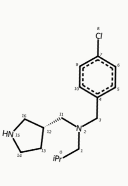 CC(C)CN(Cc1ccc(Cl)cc1)C[C@@H]1CCNC1